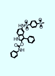 CS(=O)(=O)c1ccc(S(=O)(=O)Nc2ccc3[nH]c(OC(=O)Nc4ccccc4)c(-c4ccccc4)c3c2)cc1